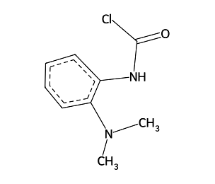 CN(C)c1ccccc1NC(=O)Cl